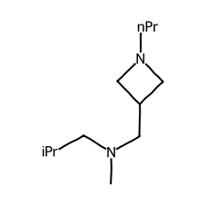 CCCN1CC(CN(C)CC(C)C)C1